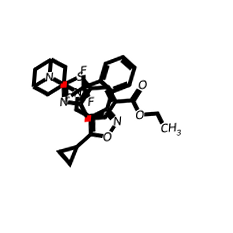 CCOC(=O)c1ccc2nc(N3C4CC(NCc5c(-c6ccccc6C(F)(F)F)noc5C5CC5)CC3C4)sc2c1